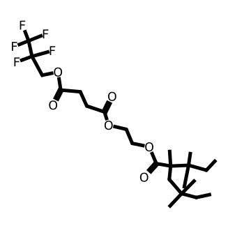 CCC(C)(C)CC(C)(C(=O)OCCOC(=O)CCC(=O)OCC(F)(F)C(F)(F)F)C(C)(C)CC